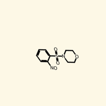 O=Nc1ccccc1S(=O)(=O)N1CCOCC1